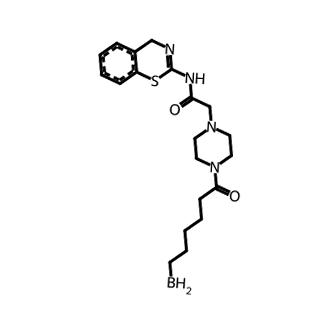 BCCCCCC(=O)N1CCN(CC(=O)NC2=NCc3ccccc3S2)CC1